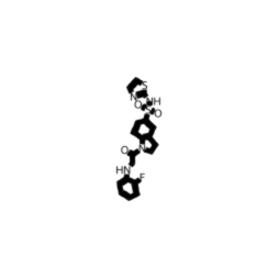 O=C(CNc1ccccc1F)N1CCc2cc(S(=O)(=O)Nc3nccs3)ccc21